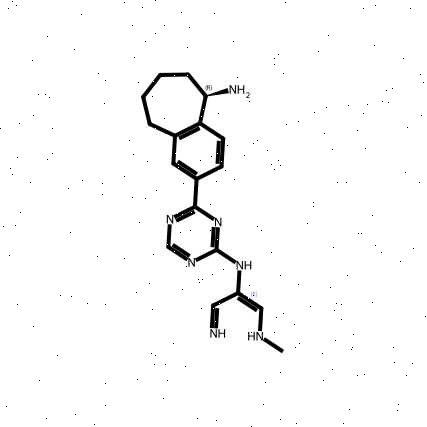 CN/C=C(\C=N)Nc1ncnc(-c2ccc3c(c2)CCCC[C@H]3N)n1